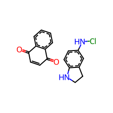 ClNc1ccc2c(c1)CCN2.O=C1C=CC(=O)c2ccccc21